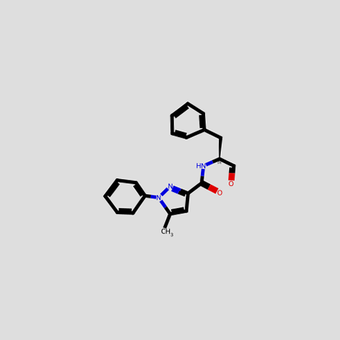 Cc1cc(C(=O)N[C@H](C=O)Cc2ccccc2)nn1-c1ccccc1